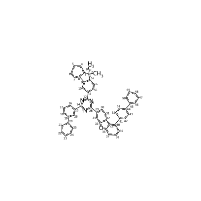 CC1(C)c2ccccc2-c2cc(-c3nc(-c4cccc(-c5ccccc5)c4)nc(-c4ccc5c(c4)oc4cccc(-c6ccc(-c7ccccc7)cc6)c45)n3)ccc21